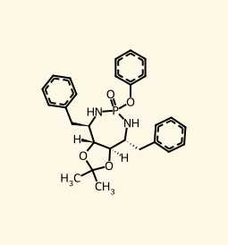 CC1(C)O[C@H]2[C@H](O1)[C@@H](Cc1ccccc1)NP(=O)(Oc1ccccc1)N[C@@H]2Cc1ccccc1